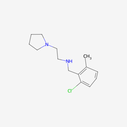 Cc1cccc(Cl)c1CNCCN1CCCC1